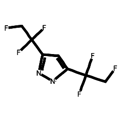 FCC(F)(F)C1=CC(C(F)(F)CF)=N[N]1